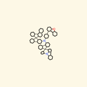 c1ccc2c(c1)-c1ccc(N(c3ccc(-c4cccc5oc6ccccc6c45)cc3)c3cccc4c3-c3ccccc3C43c4ccccc4-n4c5ccccc5c5cccc3c54)cc1C21c2ccccc2-c2c1ccc1ccccc21